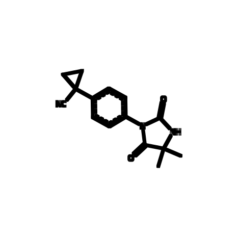 CC1(C)NC(=O)N(c2ccc(C3(C#N)CC3)cc2)C1=O